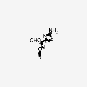 C#CON=C([C]=O)c1csc(N)n1